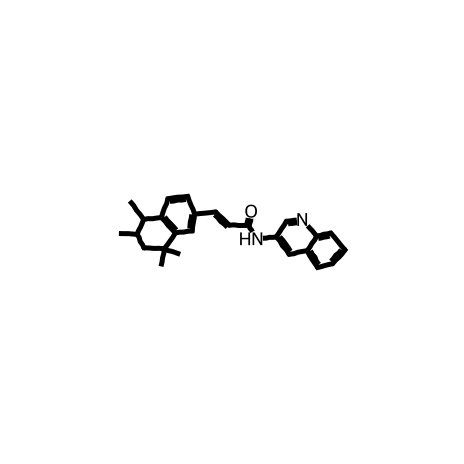 CC1CC(C)(C)c2cc(C=CC(=O)Nc3cnc4ccccc4c3)ccc2C1C